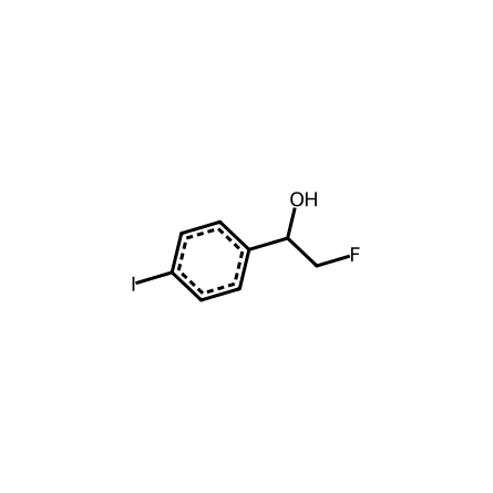 OC(CF)c1ccc(I)cc1